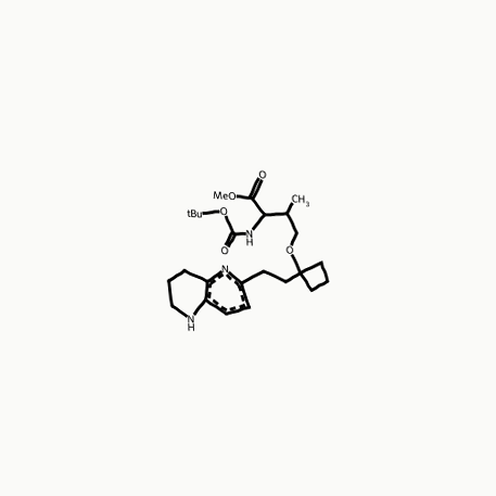 COC(=O)C(NC(=O)OC(C)(C)C)C(C)COC1(CCc2ccc3c(n2)CCCN3)CCC1